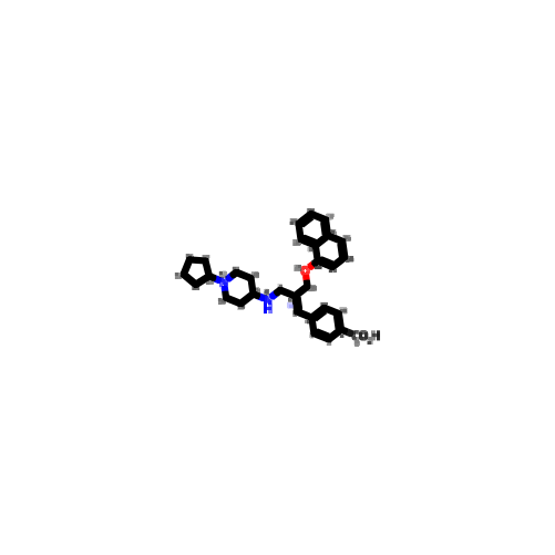 O=C(O)c1ccc(/C=C(/CNC2CCN(C3CCCC3)CC2)COc2cccc3ccccc23)cc1